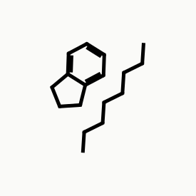 CCCCCCCC.c1ccc2c(c1)CCC2